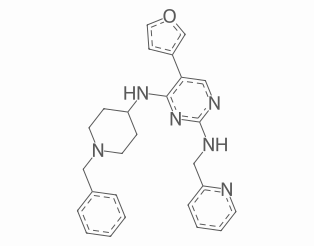 c1ccc(CN2CCC(Nc3nc(NCc4ccccn4)ncc3-c3ccoc3)CC2)cc1